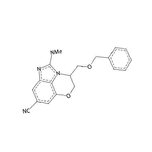 CNc1nc2cc(C#N)cc3c2n1C(COCc1ccccc1)CO3